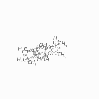 CC1=CC2(CC(C)(C)C1)O[C@@H]1[C@@H](O)[C@@H]3OC4(C=C(C)CC(C)(C)C4)O[C@H]3[C@H](O)[C@@H]1O2